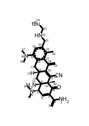 C=C(N)C1=C[C@@H](N(C)C)[C@]2(N)C[C@@H]3Cc4c(N(C)C)cc(CNCC(C)(C)C)c(C)c4C(=C)C3=C(C#N)[C@]2(C)C1=O